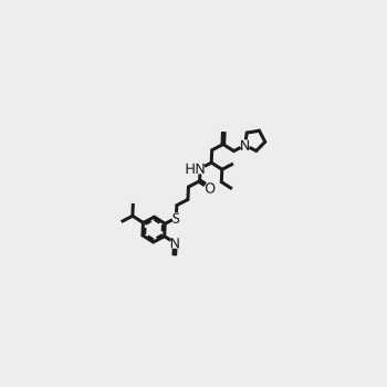 C=Nc1ccc(C(C)C)cc1SCCCC(=O)NC(CC(=C)CN1CCCC1)C(C)CC